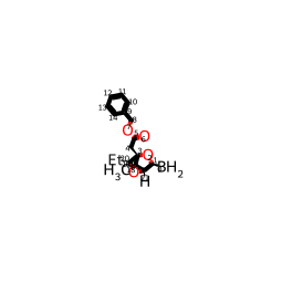 B[C@@H]1O[C@]2(CC(=O)OCc3ccccc3)C(C)[C@@H]1O[C@@H]2CC